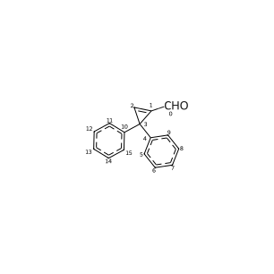 O=CC1=CC1(c1ccccc1)c1ccccc1